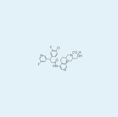 O=C(CC(c1cncc(F)c1)c1ccc(Cl)c(F)c1)Nc1cncc(F)c1CCC1CN(C(=O)O)C(CO)CO1